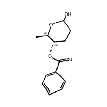 C[C@H]1OC(O)CC[C@@H]1OC(=O)c1ccccc1